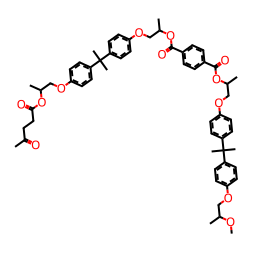 COC(C)COc1ccc(C(C)(C)c2ccc(OCC(C)OC(=O)c3ccc(C(=O)OC(C)COc4ccc(C(C)(C)c5ccc(OCC(C)OC(=O)CCC(C)=O)cc5)cc4)cc3)cc2)cc1